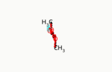 CCCCCCCCOc1ccc(-c2ccc(C(=O)O[C@@H](CCCCCC)C(F)(F)F)cc2)cc1